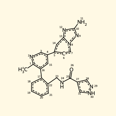 Cc1ncc(-c2ccn3nc(N)nc3c2)cc1-c1ccccc1CNC(=O)c1cn[nH]c1